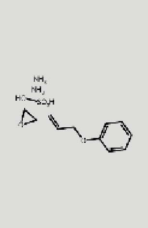 C1CO1.C=CCOc1ccccc1.N.N.O=S(=O)(O)O